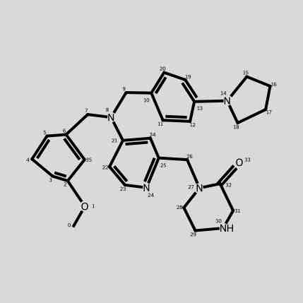 COc1cccc(CN(Cc2ccc(N3CCCC3)cc2)c2ccnc(CN3CCNCC3=O)c2)c1